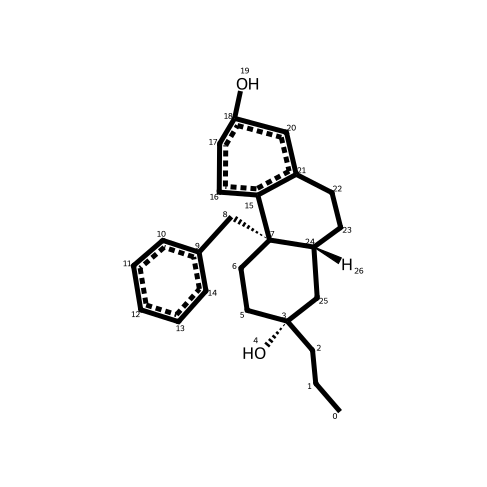 CCC[C@@]1(O)CC[C@@]2(Cc3ccccc3)c3ccc(O)cc3CC[C@@H]2C1